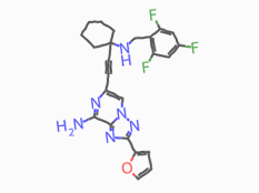 Nc1nc(C#CC2(NCc3c(F)cc(F)cc3F)CCCCC2)cn2nc(-c3ccco3)nc12